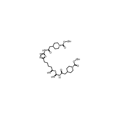 CC(C)(C)OC(=O)N1CCC(CC(=O)NC(=N)SC(=N)CCCCc2nnc(NC(=O)CC3CCN(C(=O)OC(C)(C)C)CC3)s2)CC1